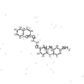 Nc1ccc(Cc2ccc(OCCOC(=O)/C=C\c3ccccc3)cc2)c(N)c1